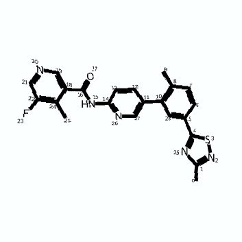 Cc1nsc(-c2ccc(C)c(-c3ccc(NC(=O)c4cncc(F)c4C)nc3)c2)n1